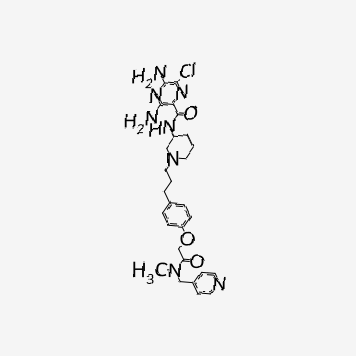 CN(Cc1ccncc1)C(=O)COc1ccc(CCCN2CCCC(NC(=O)c3nc(Cl)c(N)nc3N)C2)cc1